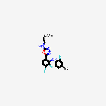 CCc1ccc(Nc2c(-c3nnc(NCCNC)o3)ccc(F)c2F)c(F)c1